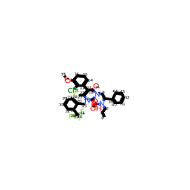 CCCN(C(=O)O)C(Cn1c(=O)c(-c2cccc(OC)c2Cl)c(C)n(Cc2c(F)cccc2C(F)(F)F)c1=O)c1ccccc1